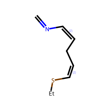 C=N/C=C\C/C=C\SCC